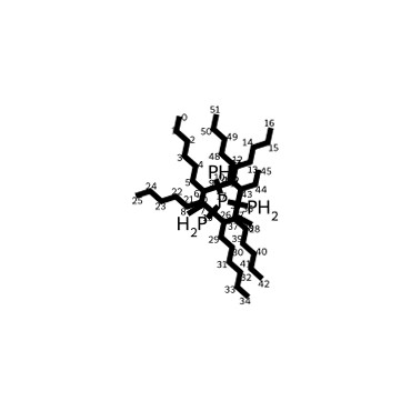 CCCCCCC(CC)C(P)(CCCCCC)P(C(P)(CCCCCC)C(CC)CCCCCC)C(P)(CCCCCC)C(CC)CCCCCC